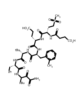 CCCCC(NC(=O)[C@H](CC(C)C)NC(=O)[C@@H](NC(=O)[C@H](Cc1ccccc1C)NC(=O)[C@H](CCC(=O)O)NC(=O)[C@H](CCS(C)(=O)=O)NC(=O)CCC(=O)O)C(C)(C)C)C(=O)C(N)=O